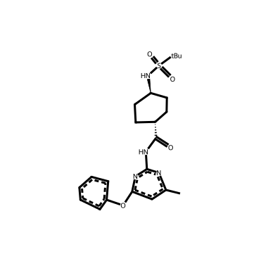 Cc1cc(Oc2ccccc2)nc(NC(=O)[C@H]2CC[C@H](NS(=O)(=O)C(C)(C)C)CC2)n1